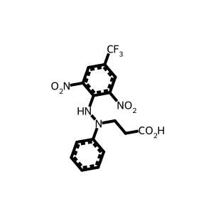 O=C(O)CCN(Nc1c([N+](=O)[O-])cc(C(F)(F)F)cc1[N+](=O)[O-])c1ccccc1